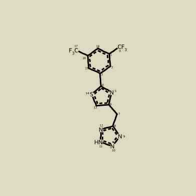 FC(F)(F)c1cc(-c2nc(Cc3nn[nH]n3)cs2)cc(C(F)(F)F)c1